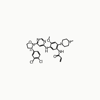 C=CC(=O)Nc1cc(Nc2cc(N3OCC[C@@H]3c3ccc(Cl)c(Cl)c3)ncn2)c(OC)cc1N1CCN(C)CC1